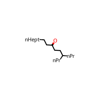 CCCCCCCCCC(=O)CCC(CCC)CCC